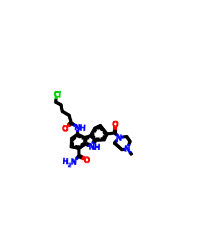 CN1CCN(C(=O)c2ccc3c(c2)[nH]c2c(C(N)=O)ccc(NC(=O)CCCCCl)c23)CC1